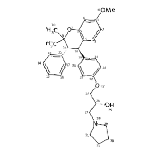 COc1ccc2c(c1)OC(C)(C)[C@@H](c1ccccc1)[C@@H]2c1ccc(OC[C@H](O)CN2CCCC2)cc1